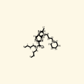 CCCCN(CCCC)C(=O)c1ncc2nc(C)n(CCCN3CCCCC3)c2n1